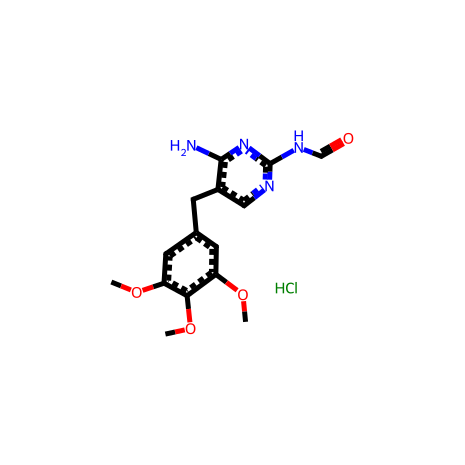 COc1cc(Cc2cnc(NC=O)nc2N)cc(OC)c1OC.Cl